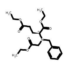 CCOC(=O)CC[C@@H](C(=O)OCC)N(CC(=O)OCC)Cc1ccccc1